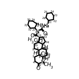 CN1C(=O)CC[C@]2(C)[C@H]3CC[C@]4(C)[C@@H](C(=O)N(C(=O)NSC5CCCCC5)C5CCCCC5)CC[C@H]4[C@@H]3CC[C@@H]12